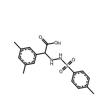 Cc1ccc(S(=O)(=O)NNC(C(=O)O)c2cc(C)cc(C)c2)cc1